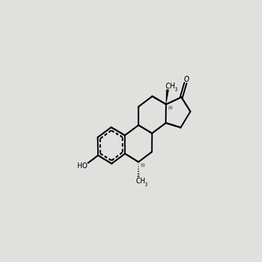 C[C@H]1CC2C(CC[C@]3(C)C(=O)CCC23)c2ccc(O)cc21